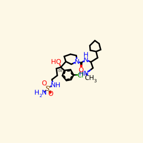 CNCC(CC1CCCCC1)NC(=O)N1CCCC([C@@](O)(CCCNS(N)(=O)=O)c2cccc(Cl)c2)C1